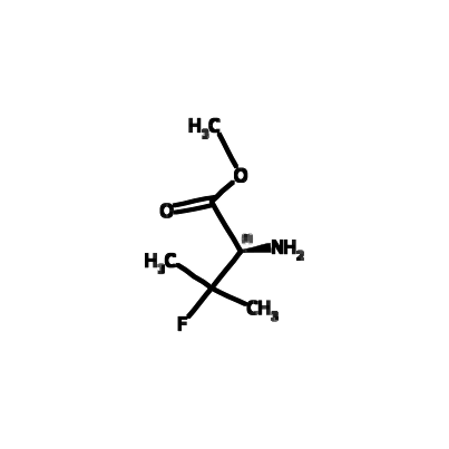 COC(=O)[C@@H](N)C(C)(C)F